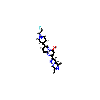 CCc1nc(C)cn2nc(-c3cc(=O)n4cc(C5CCN(CCF)CC5)ccc4n3)cc12